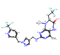 Cc1nc(NCc2cnn(Cc3ccc(C(F)(F)F)nc3)c2)nc2c1NC(=O)C(CC(F)(F)F)N2C